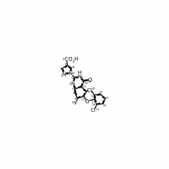 O=C(O)c1cnn(-c2nc3cc(F)c(Oc4c(Cl)cccc4Cl)cc3c(=O)[nH]2)c1